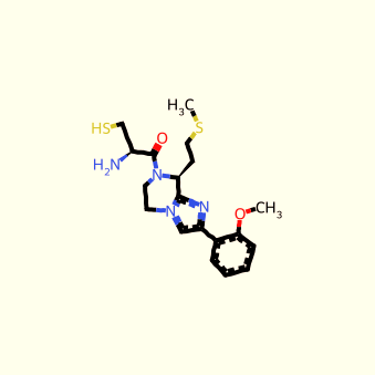 COc1ccccc1-c1cn2c(n1)[C@H](CCSC)N(C(=O)[C@@H](N)CS)CC2